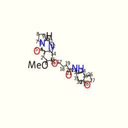 COC1CC2C(=O)N3CCC[C@H]3C=NC2CC1OCCCC(=O)NC1=CC2CCOC2CC1